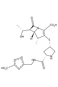 C[C@@H](O)[C@H]1C(=O)N2C(C(=O)O)=C(S[C@@H]3CN[C@H](C(=O)NCc4cc(C(=O)O)co4)C3)[C@H](C)[C@H]12